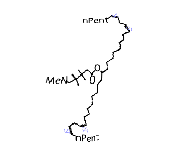 CCCCC/C=C\C/C=C\CCCCCCCCC(CCCCCCCC/C=C\C/C=C\CCCCC)OC(=O)CC(C)(C)C(C)(C)CNC